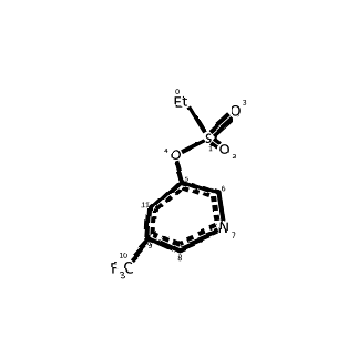 CCS(=O)(=O)Oc1cncc(C(F)(F)F)c1